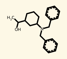 CC(O)C1CCCC(N(Cc2ccccc2)Cc2ccccc2)C1